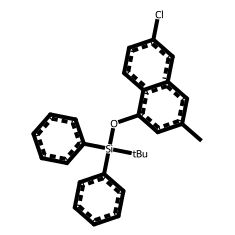 Cc1cc(O[Si](c2ccccc2)(c2ccccc2)C(C)(C)C)c2ccc(Cl)cc2c1